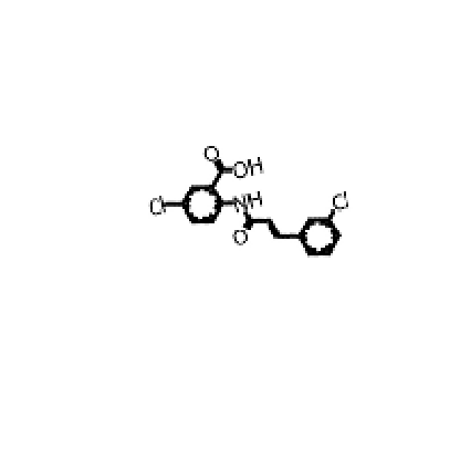 O=C(/C=C/c1cccc(Cl)c1)Nc1ccc(Cl)cc1C(=O)O